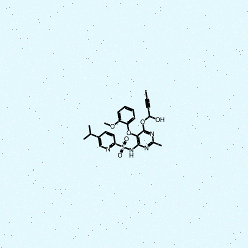 CC#CC(O)Oc1nc(C)nc(NS(=O)(=O)c2ccc(C(C)C)cn2)c1Oc1ccccc1OC